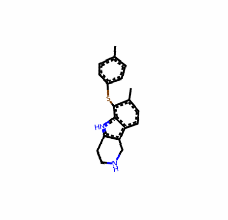 Cc1ccc(Sc2c(C)ccc3c4c([nH]c23)CCNC4)cc1